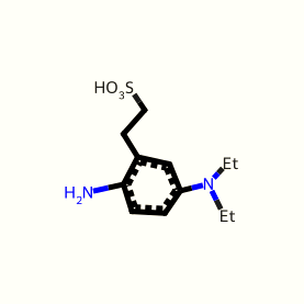 CCN(CC)c1ccc(N)c(CCS(=O)(=O)O)c1